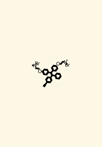 C#Cc1ccc(C(=C(c2ccc(OCCN(C)Br)cc2)c2ccc(OCCN(C)Br)cc2)c2ccccc2)cc1